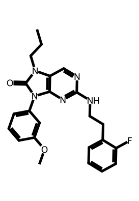 CCCn1c(=O)n(-c2cccc(OC)c2)c2nc(NCCc3ccccc3F)ncc21